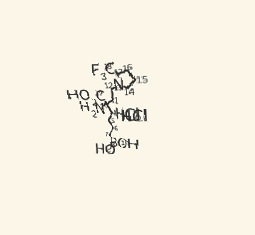 Cl.Cl.NC(CCCCB(O)O)(CCN1CCCC1C(F)(F)F)C(=O)O